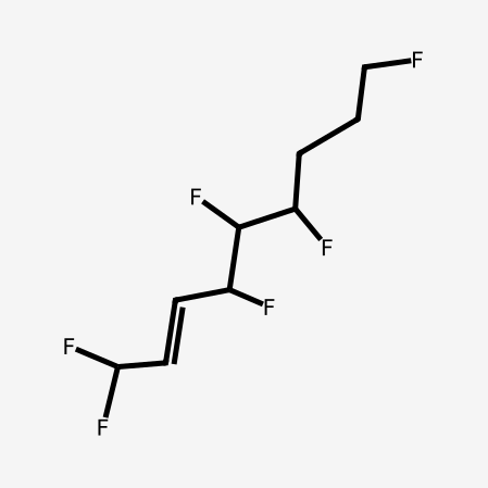 FCCCC(F)C(F)C(F)C=CC(F)F